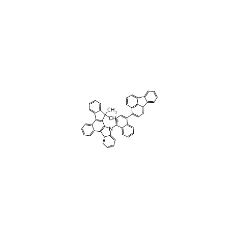 CC1(C)c2ccccc2-c2c1c1c(c3ccccc23)c2ccccc2n1-c1ccc(-c2ccc3c4c(cccc24)-c2ccccc2-3)c2ccccc12